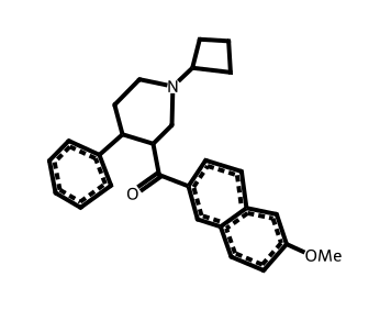 COc1ccc2cc(C(=O)C3CN(C4CCC4)CCC3c3ccccc3)ccc2c1